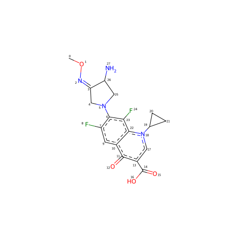 CON=C1CN(c2c(F)cc3c(=O)c(C(=O)O)cn(C4CC4)c3c2F)CC1N